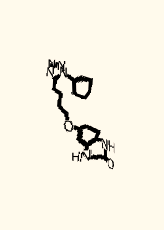 O=C1CNc2cc(OCCCCc3nnnn3C3CCCCC3)ccc2N1